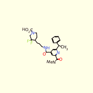 CNC(=O)c1cc(C(=O)NCCCC2CCN(C(=O)O)CC2(F)F)cc(C(C)c2ccccc2)n1